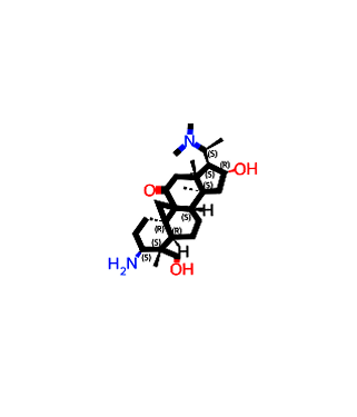 C[C@@H]([C@H]1[C@H](O)C[C@@]2(C)[C@@H]3CC[C@H]4[C@](C)(CO)[C@@H](N)CC[C@@]45CC35C(=O)C[C@]12C)N(C)C